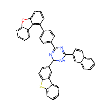 c1ccc2cc(C3=NC(c4ccc(-c5cccc6oc7ccccc7c56)cc4)=NC(c4ccc5sc6ccccc6c5c4)N3)ccc2c1